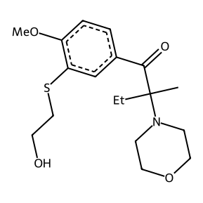 CCC(C)(C(=O)c1ccc(OC)c(SCCO)c1)N1CCOCC1